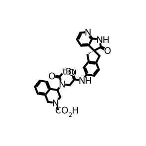 CC(C)(C)C(=O)N(CC(=O)Nc1ccc2c(c1)C[C@@]1(C2)C(=O)Nc2ncccc21)C1CN(C(=O)O)Cc2ccccc21